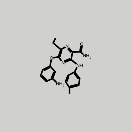 CCc1nc(C(N)=O)c(Nc2ccc(C)cc2)nc1Oc1cccc(N)c1